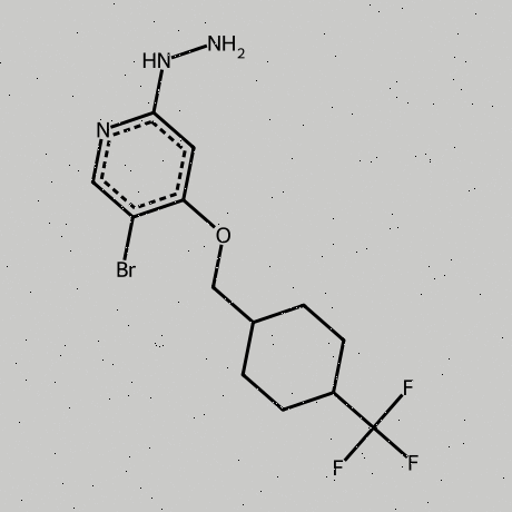 NNc1cc(OCC2CCC(C(F)(F)F)CC2)c(Br)cn1